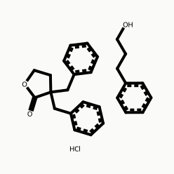 Cl.O=C1OCCC1(Cc1ccccc1)Cc1ccccc1.OCCCc1ccccc1